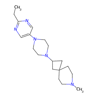 CCc1ncc(N2CCN(C3CC4(CCN(C)CC4)C3)CC2)cn1